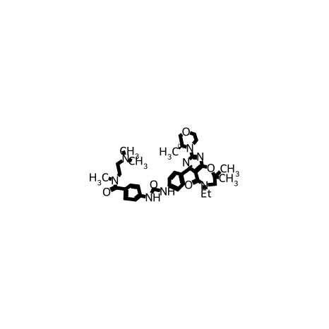 CCN1CC(C)(C)Oc2nc(N3CCOC[C@@H]3C)nc(-c3ccc(NC(=O)Nc4ccc(C(=O)N(C)CCN(C)C)cc4)cc3)c2C1=O